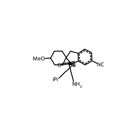 [C-]#[N+]c1ccc2c(c1)C1(N=C(N)N(C(C)C)C1=O)C1(CCC(OC)CC1)C2